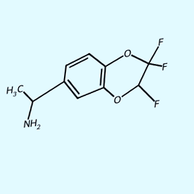 CC(N)c1ccc2c(c1)OC(F)C(F)(F)O2